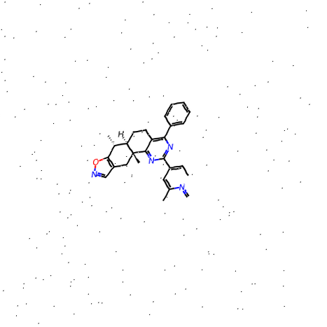 C=N/C(C)=C\C(=C/C)c1nc(-c2ccccc2)c2c(n1)[C@]1(C)Cc3cnoc3[C@H](C)[C@H]1CC2